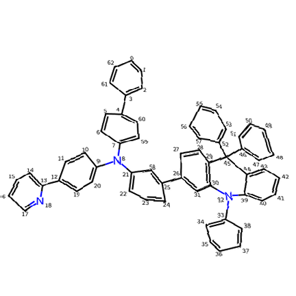 c1ccc(-c2ccc(N(c3ccc(-c4ccccn4)cc3)c3cccc(-c4ccc5c(c4)N(c4ccccc4)c4ccccc4C5(c4ccccc4)c4ccccc4)c3)cc2)cc1